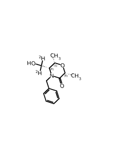 [2H]C([2H])(O)[C@@H]1[C@H](C)O[C@H](C)C(=O)N1Cc1ccccc1